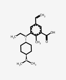 C=Cc1cc(C(=O)O)c(C)c(N(CC)[C@H]2CC[C@H](N(C)C)CC2)c1